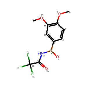 COc1ccc([S+]([O-])NC(=O)C(F)(F)F)cc1OC